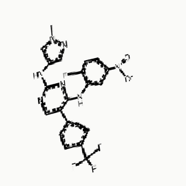 Cn1cc(Nc2ncc(-c3ccc(C(F)(F)F)cc3)c(Nc3cc([N+](=O)[O-])ccc3F)n2)cn1